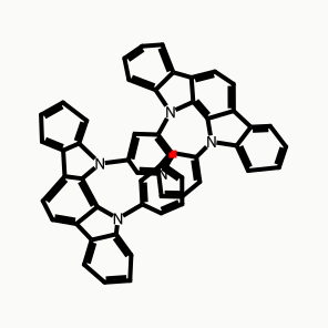 c1ccc(-n2c3ccccc3c3ccc4c5ccccc5n(-c5cncc(-n6c7ccccc7c7ccc8c9ccccc9n(-c9ccccc9)c8c76)c5)c4c32)cc1